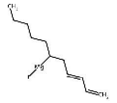 C=CC=CC[CH](CCCCC)[Mg][I]